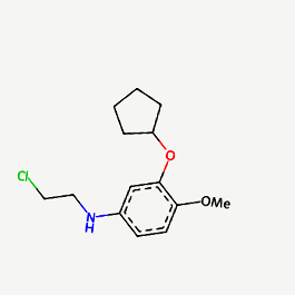 COc1ccc(NCCCl)cc1OC1CCCC1